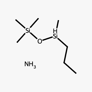 CCC[SiH](C)O[Si](C)(C)C.N